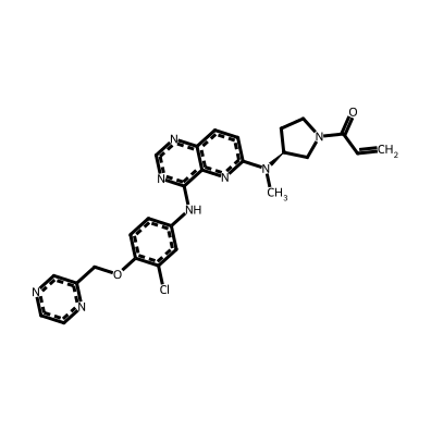 C=CC(=O)N1CC[C@H](N(C)c2ccc3ncnc(Nc4ccc(OCc5cnccn5)c(Cl)c4)c3n2)C1